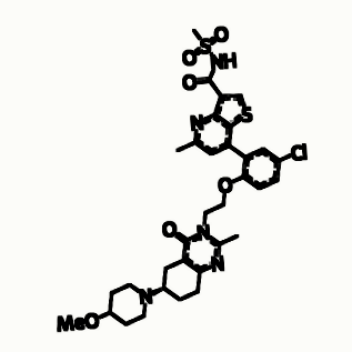 COC1CCN([C@@H]2CCc3nc(C)n(CCOc4ccc(Cl)cc4-c4cc(C)nc5c(C(=O)NS(C)(=O)=O)csc45)c(=O)c3C2)CC1